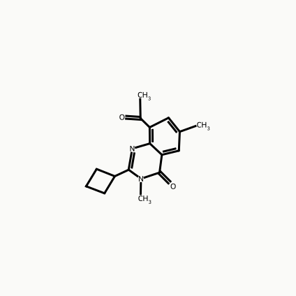 CC(=O)c1cc(C)cc2c(=O)n(C)c(C3CCC3)nc12